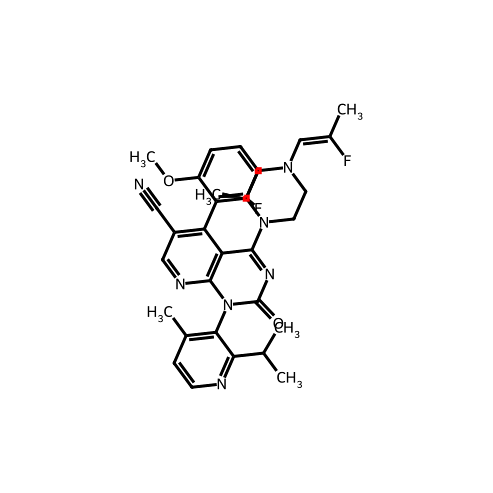 COc1cccc(F)c1-c1c(C#N)cnc2c1c(N1CCN(C=C(C)F)C[C@@H]1C)nc(=O)n2-c1c(C)ccnc1C(C)C